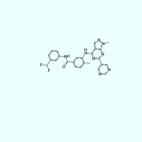 Cc1ccc(C(=O)Nc2cccc(C(F)F)c2)cc1Nc1nc(-c2cncnc2)nc2c1cnn2C